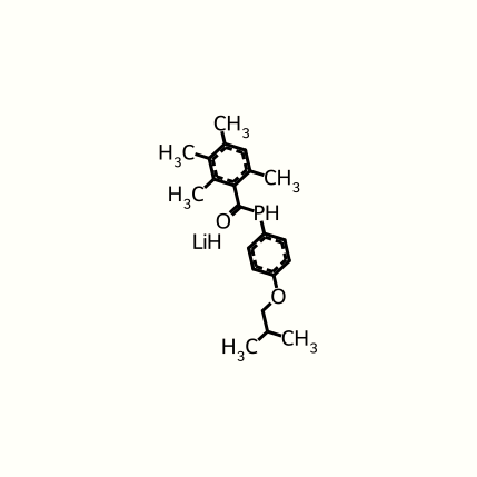 Cc1cc(C)c(C(=O)Pc2ccc(OCC(C)C)cc2)c(C)c1C.[LiH]